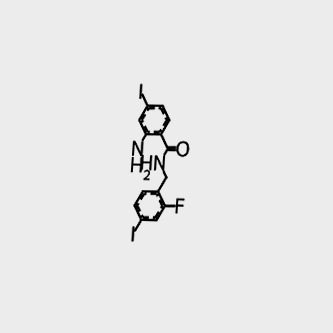 Nc1cc(I)ccc1C(=O)NCc1ccc(I)cc1F